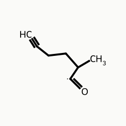 C#CCCC(C)[C]=O